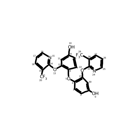 Oc1ccc(Oc2ccc(O)cc2Oc2ncccc2C(F)(F)F)c(Oc2ncccc2C(F)(F)F)c1